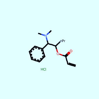 C=CC(=O)OC(CCC)C(c1ccccc1)N(C)C.Cl